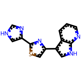 c1cnc2[nH]cc(-c3csc(-c4c[nH]cn4)n3)c2c1